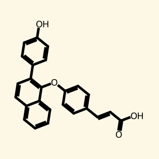 O=C(O)/C=C/c1ccc(Oc2c(-c3ccc(O)cc3)ccc3ccccc23)cc1